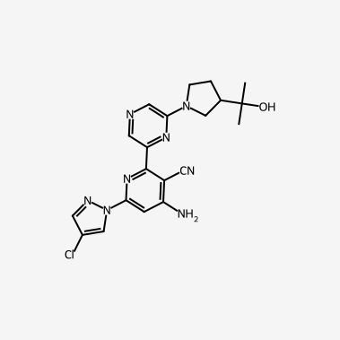 CC(C)(O)C1CCN(c2cncc(-c3nc(-n4cc(Cl)cn4)cc(N)c3C#N)n2)C1